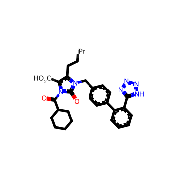 CC(C)CCc1c(C(=O)O)n(C(=O)C2CCCCC2)c(=O)n1Cc1ccc(-c2ccccc2-c2nnn[nH]2)cc1